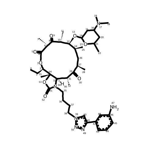 CC[C@H]1OC(=O)[C@H](C)C(=O)[C@H](C)[C@@H](OC2CC(N(C)C)CC(C)O2)[C@@H](C)C[C@@H](C)C(=O)[C@H](C)[C@H]2N(CCCCn3cc(-c4cccc(N)c4)nn3)C(=O)O[C@]12C